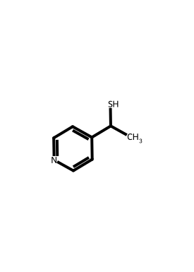 CC(S)c1ccncc1